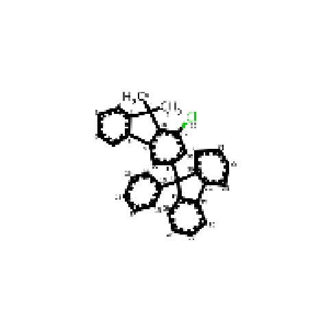 CC1(C)c2ccccc2-c2cc(C3(c4ccccc4)c4ccccc4-c4ccccc43)cc(Cl)c21